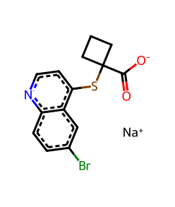 O=C([O-])C1(Sc2ccnc3ccc(Br)cc23)CCC1.[Na+]